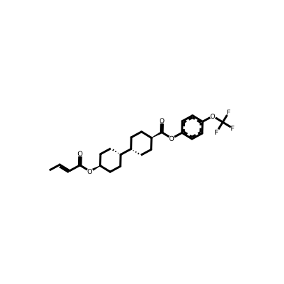 CC=CC(=O)O[C@H]1CC[C@H]([C@H]2CC[C@H](C(=O)Oc3ccc(OC(F)(F)F)cc3)CC2)CC1